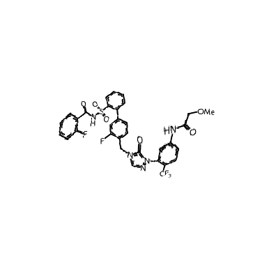 COCC(=O)Nc1ccc(C(F)(F)F)c(-n2ncn(Cc3ccc(-c4ccccc4S(=O)(=O)NC(=O)c4ccccc4F)cc3F)c2=O)c1